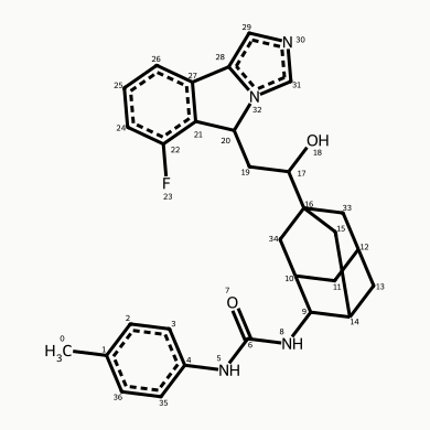 Cc1ccc(NC(=O)NC2C3CC4CC2CC(C(O)CC2c5c(F)cccc5-c5cncn52)(C4)C3)cc1